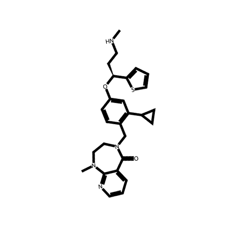 CNCC[C@H](Oc1ccc(CN2CCN(C)c3ncccc3C2=O)c(C2CC2)c1)c1cccs1